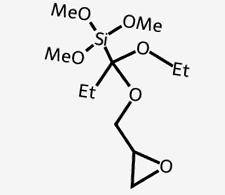 CCOC(CC)(OCC1CO1)[Si](OC)(OC)OC